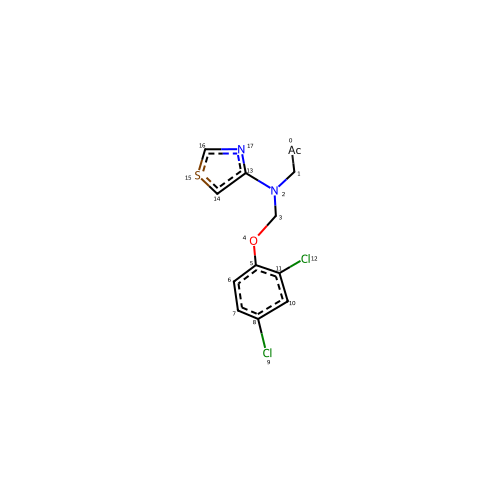 CC(=O)CN(COc1ccc(Cl)cc1Cl)c1cscn1